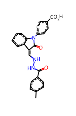 Cc1ccc(C(=O)NNC=C2C(=O)N(c3ccc(C(=O)O)cc3)c3ccccc32)cc1